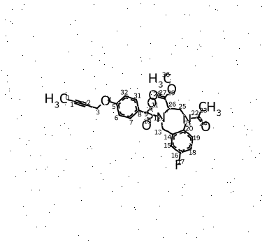 CC#CCOc1ccc(S(=O)(=O)N2Cc3cc(F)ccc3N(C(C)=O)CC2C(=O)OC)cc1